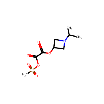 CC(C)N1CC(OC(=O)C(=O)OS(C)(=O)=O)C1